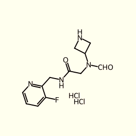 Cl.Cl.O=CN(CC(=O)NCc1ncccc1F)C1CNC1